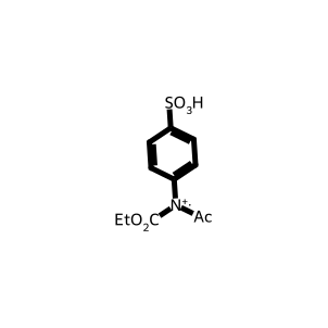 CCOC(=O)[N+](C(C)=O)c1ccc(S(=O)(=O)O)cc1